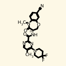 Cc1cnc(C(=O)N[C@H]2COc3cc(C#N)ccc3N(C)C2=O)nc1N1CCC(F)(F)CC1